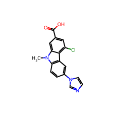 Cn1c2ccc(-n3ccnc3)cc2c2c(Cl)cc(C(=O)O)cc21